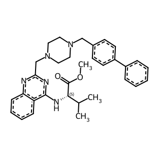 COC(=O)[C@@H](Nc1nc(CN2CCN(Cc3ccc(-c4ccccc4)cc3)CC2)nc2ccccc12)C(C)C